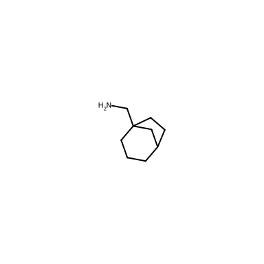 NCC12CCCC(CC1)C2